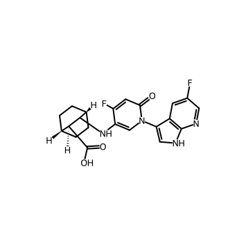 O=C(O)[C@@H]1C(Nc2cn(-c3c[nH]c4ncc(F)cc34)c(=O)cc2F)[C@H]2CC[C@@H]1CC2